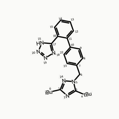 CCC(C)c1nc(C(C)(C)C)n(Cc2ccc(-c3ccccc3-c3nnn[nH]3)cc2)n1